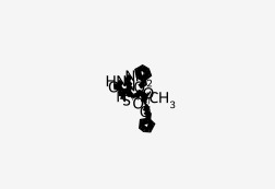 CO[C@H]1[C@@H](OCc2ccccc2)[C@H](c2snc3c(=O)[nH]c(N)nc23)O[C@@H]1COCc1ccccc1